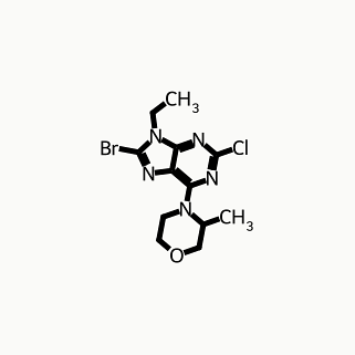 CCn1c(Br)nc2c(N3CCOCC3C)nc(Cl)nc21